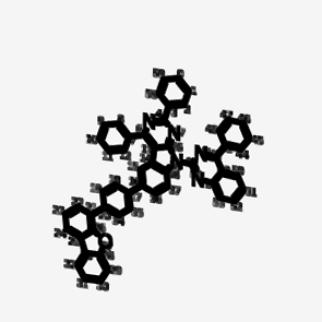 c1ccc(-c2nc(-c3ccccc3)c3c4cc(-c5ccc(-c6cccc7c6oc6ccccc67)cc5)ccc4n(-c4nc(-c5ccccc5)c5ccccc5n4)c3n2)cc1